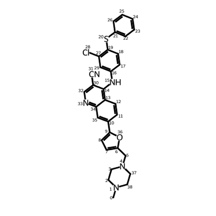 CN1CCN(Cc2ccc(-c3ccc4c(Nc5ccc(Sc6ccccc6)c(Cl)c5)c(C#N)cnc4c3)o2)CC1